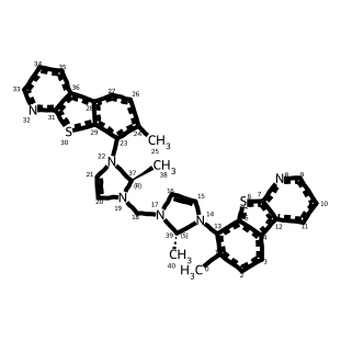 Cc1ccc2c(sc3ncccc32)c1N1C=CN(CN2C=CN(c3c(C)ccc4c3sc3ncccc34)[C@H]2C)[C@H]1C